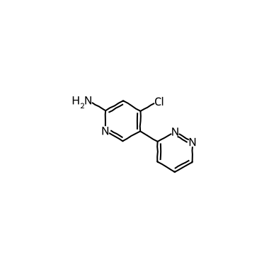 Nc1cc(Cl)c(-c2cccnn2)cn1